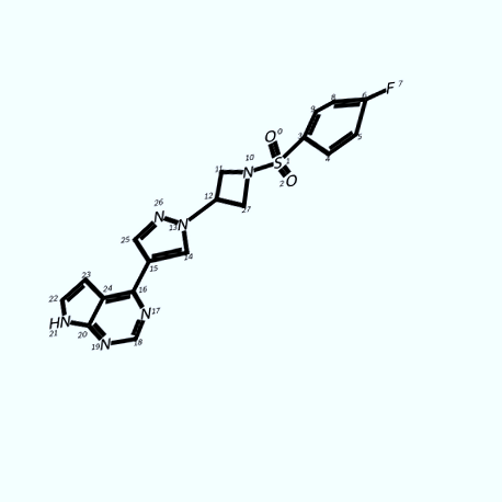 O=S(=O)(c1ccc(F)cc1)N1CC(n2cc(-c3ncnc4[nH]ccc34)cn2)C1